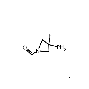 O=CN1CC(F)(P)C1